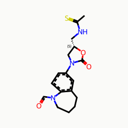 CC(=S)NC[C@H]1CN(c2ccc3c(c2)CCCCN3C=O)C(=O)O1